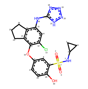 O=S(=O)(NC1CC1)c1cc(Oc2c(Cl)cc(Nc3nnn[nH]3)c3c2CCC3)ccc1O